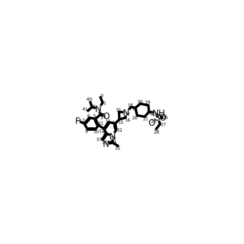 CCN(C(=O)c1cc(F)ccc1-c1cc(C2CN(CC3CCC(NS(=O)(=O)CC)CC3)C2)cn2c(C)ncc12)C(C)C